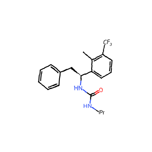 Cc1c([C@H](Cc2ccccc2)NC(=O)NC(C)C)cccc1C(F)(F)F